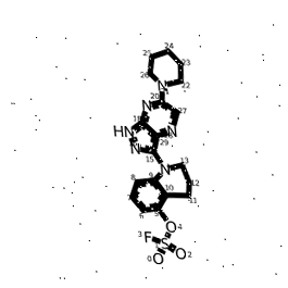 O=S(=O)(F)Oc1cccc2c1CCCN2c1n[nH]c2nc(N3CCCCC3)cnc12